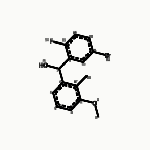 COc1cccc(C(O)c2cc(Br)ccc2F)c1C